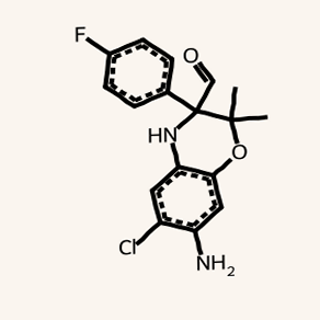 CC1(C)Oc2cc(N)c(Cl)cc2NC1(C=O)c1ccc(F)cc1